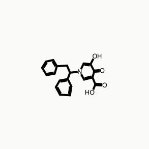 O=C(O)c1cn(C(Cc2ccccc2)c2ccccc2)cc(O)c1=O